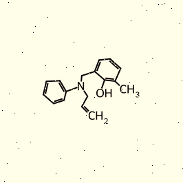 C=CCN(Cc1cccc(C)c1O)c1ccccc1